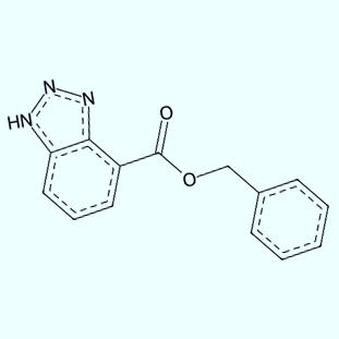 O=C(OCc1ccccc1)c1cccc2[nH]nnc12